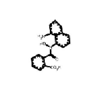 Nc1cccc2cccc(N(O)C(=O)c3ccccc3C(=O)O)c12